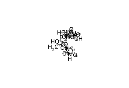 C=C(O)[C@H](O)[C@@](CF)(COP(=O)(O)OP(=O)(O)OP(=O)(O)O)OCn1ccc(=O)[nH]c1=O